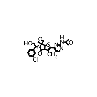 CC1=C(c2ccnc(NC3COC3)n2)SC2C1C(=O)N(C(CO)c1cccc(Cl)c1)C21COC1